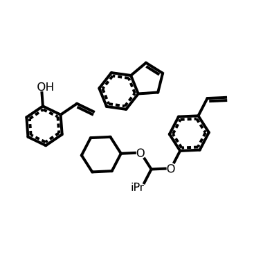 C1=Cc2ccccc2C1.C=Cc1ccc(OC(OC2CCCCC2)C(C)C)cc1.C=Cc1ccccc1O